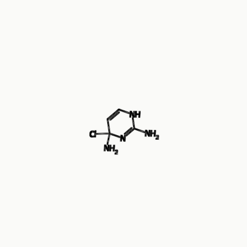 NC1=NC(N)(Cl)C=CN1